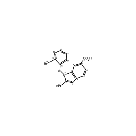 CCCc1cc2ccc(C(=O)O)cc2n1Cc1ccccc1Br